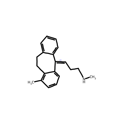 CNCC/C=C1/c2ccccc2CCc2c(C)cccc21